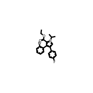 CCOC(=O)c1c(-c2ccccc2Br)c(-c2ccc(F)cc2)cn1C(C)C